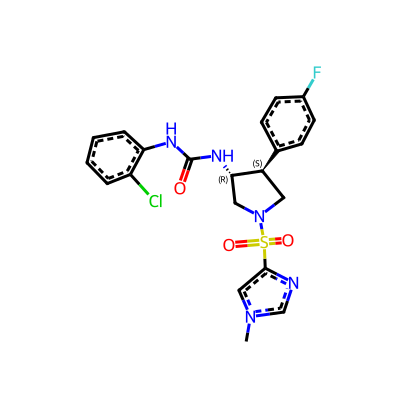 Cn1cnc(S(=O)(=O)N2C[C@H](NC(=O)Nc3ccccc3Cl)[C@@H](c3ccc(F)cc3)C2)c1